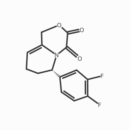 O=C1OCC2=CCC[C@@H](c3ccc(F)c(F)c3)N2C1=O